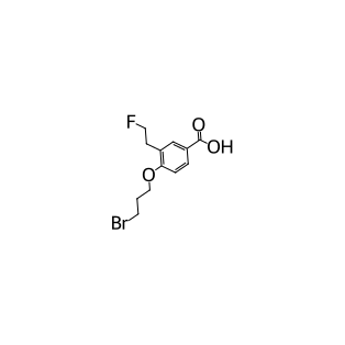 O=C(O)c1ccc(OCCCBr)c(CCF)c1